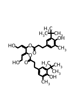 Cc1cc(CCC(=O)OC(=CCO)C(=CCO)OC(=O)CCc2cc(C)c(O)c(C(C)(C)C)c2)cc(C(C)(C)C)c1O